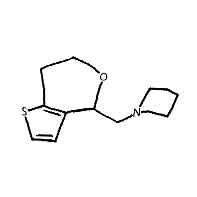 c1cc2c(s1)CCOC2CN1CCC1